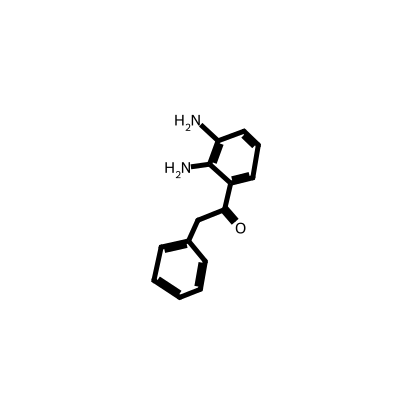 Nc1cccc(C(=O)Cc2ccccc2)c1N